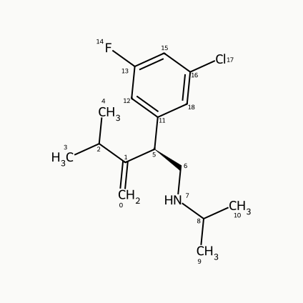 C=C(C(C)C)[C@H](CNC(C)C)c1cc(F)cc(Cl)c1